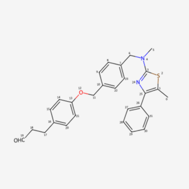 Cc1sc(N(C)Cc2ccc(COc3ccc(CCC=O)cc3)cc2)nc1-c1ccccc1